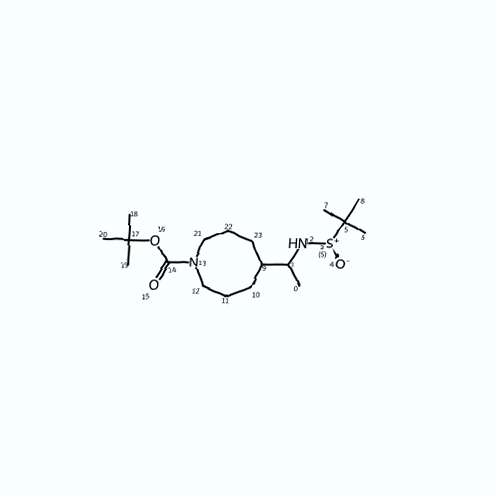 CC(N[S@+]([O-])C(C)(C)C)C1CCCN(C(=O)OC(C)(C)C)CCC1